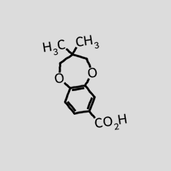 CC1(C)COc2ccc(C(=O)O)cc2OC1